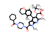 Cc1nc2c(cc(C(=O)N3CCN(C(=O)C4CCCCC4)CC3)n2C)c(-c2cc(F)c3c(c2C)CCCO3)c1[C@H](OC(C)(C)C)C(=O)O